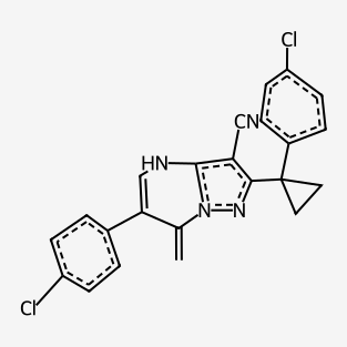 C=C1C(c2ccc(Cl)cc2)=CNc2c(C#N)c(C3(c4ccc(Cl)cc4)CC3)nn21